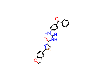 O=C(c1ccccc1)c1ccc2[nH]c(NC(=O)c3csc(-c4ccc5c(c4)CCO5)n3)nc2c1